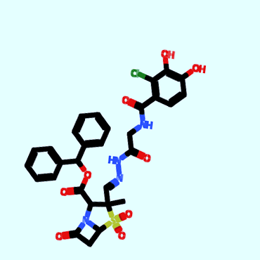 CC1(/C=N/NC(=O)CNC(=O)c2ccc(O)c(O)c2Cl)C(C(=O)OC(c2ccccc2)c2ccccc2)N2C(=O)CC2S1(=O)=O